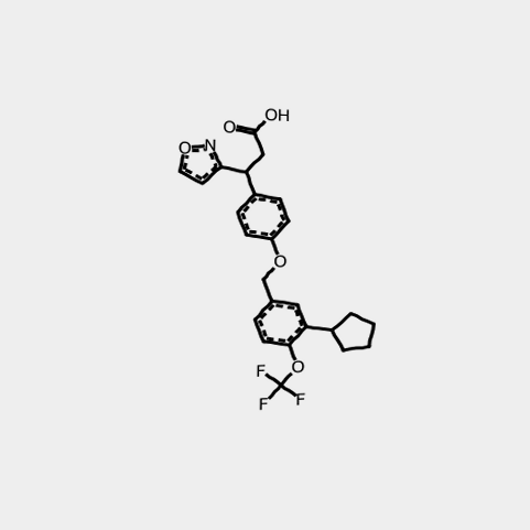 O=C(O)CC(c1ccc(OCc2ccc(OC(F)(F)F)c(C3CCCC3)c2)cc1)c1ccon1